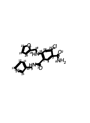 NC(=O)c1cc(C(=O)NCc2cccnc2)c(NCc2ccco2)cc1Cl